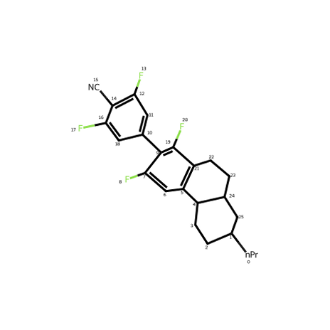 CCCC1CCC2c3cc(F)c(-c4cc(F)c(C#N)c(F)c4)c(F)c3CCC2C1